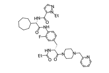 CCC(=O)N[C@H](Cc1ccc(NC(=O)[C@@H](NC(=O)c2ccnn2CC)C2CCCCCC2)c(F)c1)C(=O)N1CCN(Cc2ccccn2)CC1